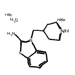 Br.Br.NC1Sc2ccccc2N1CC1CCNCC1.O